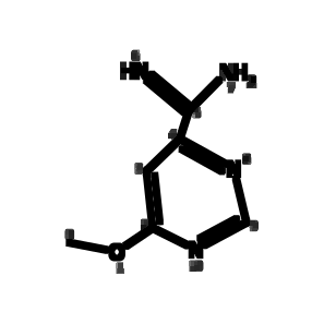 COc1cc(C(=N)N)ncn1